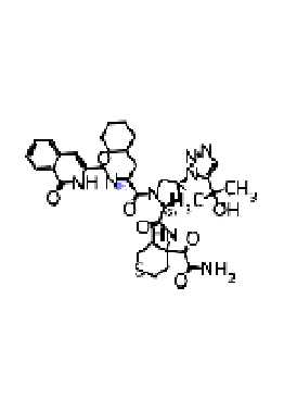 CC(C)(O)c1cnnn1[C@H]1C[C@@H](C(=O)NC2(C(=O)C(N)=O)CCSCC2)N(C(=O)/C(CC2CCCCC2)=N/C(=O)c2cc3ccccc3c(=O)[nH]2)C1